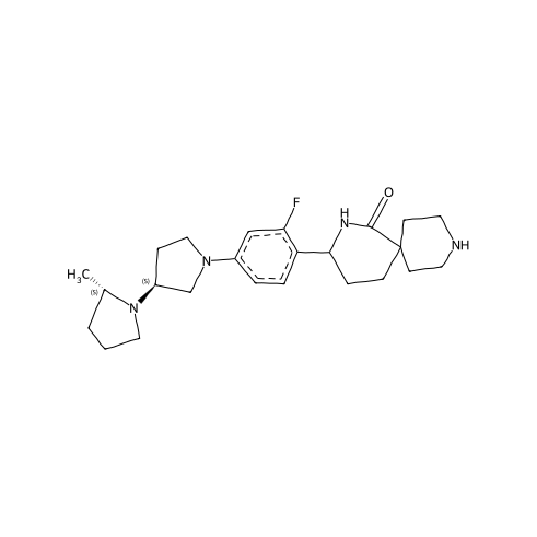 C[C@H]1CCCN1[C@H]1CCN(c2ccc(C3CCC4(CCNCC4)C(=O)N3)c(F)c2)C1